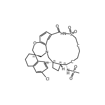 CS(=O)(=O)N[C@H]1CCCCCS(=O)(=O)NC(=O)c2ccc3c(c2)N(C[C@@H]2CC[C@H]21)C[C@@]1(CCCc2cc(Cl)ccc21)CO3